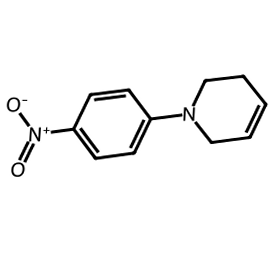 O=[N+]([O-])c1ccc(N2CC=CCC2)cc1